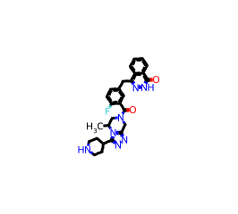 CC1CN(C(=O)c2cc(Cc3n[nH]c(=O)c4ccccc34)ccc2F)Cc2nnc(C3CCNCC3)n21